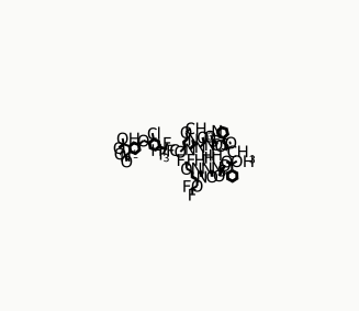 CCS(=O)(=O)c1cccnc1S(=O)(=O)NC(=O)Nc1nc(OC)cc(OC)n1.O=C(Nc1nc(OC(F)F)cc(OC(F)F)n1)NS(=O)(=O)c1ccccc1C(=O)O.O=C(O)c1cc(Oc2ccc(C(F)(F)F)cc2Cl)ccc1[N+](=O)[O-]